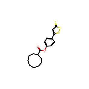 O=C(Oc1ccc(-c2cc(=S)ss2)cc1)C1CCCCCCCC1